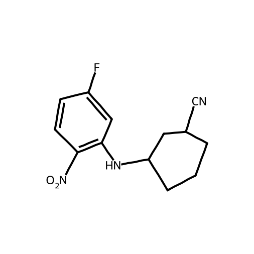 N#CC1CCCC(Nc2cc(F)ccc2[N+](=O)[O-])C1